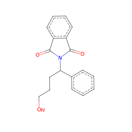 O=C1c2ccccc2C(=O)N1C(CCCO)c1ccccc1